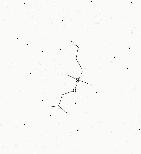 CCCC[Si](C)(C)OCC(C)C